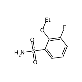 CCOc1c(F)cccc1S(N)(=O)=O